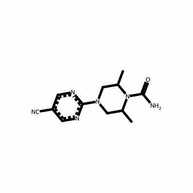 CC1CN(c2ncc(C#N)cn2)CC(C)N1C(N)=O